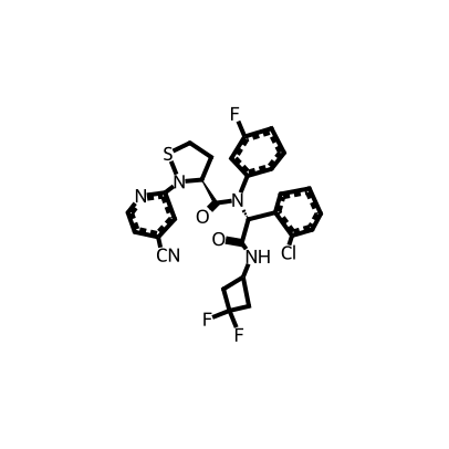 N#Cc1ccnc(N2SCC[C@H]2C(=O)N(c2cccc(F)c2)[C@@H](C(=O)NC2CC(F)(F)C2)c2ccccc2Cl)c1